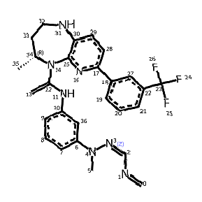 C=N/C=N\N(C)c1cccc(NC(=C)N2c3nc(-c4cccc(C(F)(F)F)c4)ccc3NCC[C@H]2C)c1